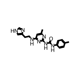 Cc1ccc(NC(=O)Nc2nc(C)cc(NCCc3c[nH]cn3)n2)cc1